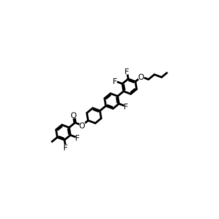 CCCCOc1ccc(-c2ccc(C3=CCC(OC(=O)c4ccc(C)c(F)c4F)CC3)cc2F)c(F)c1F